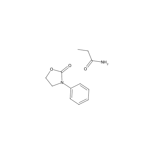 CCC(N)=O.O=C1OCCN1c1ccccc1